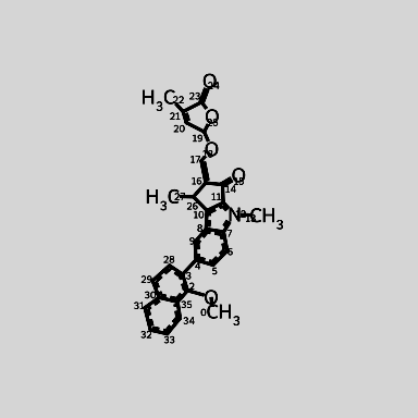 COc1c(-c2ccc3c(c2)c2c(n3C)C(=O)C(=COC3C=C(C)C(=O)O3)C2C)ccc2ccccc12